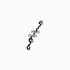 O=C(CCCCC1CCSS1)NCCNC(=O)c1ccc(CCN2CCCC2)nc1